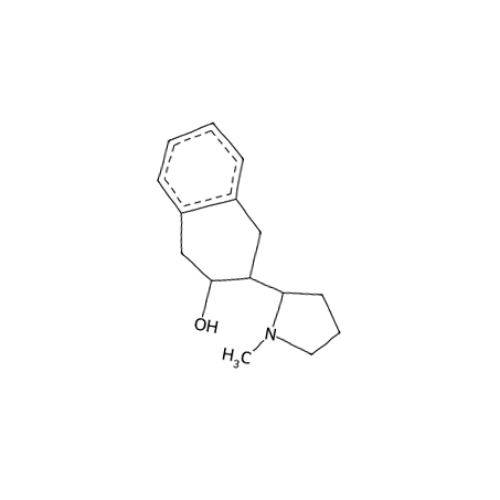 CN1CCCC1C1Cc2ccccc2CC1O